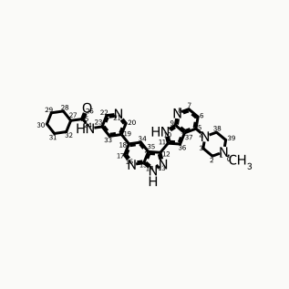 CN1CCN(c2ccnc3[nH]c(-c4n[nH]c5ncc(-c6cncc(NC(=O)C7CCCCC7)c6)cc45)cc23)CC1